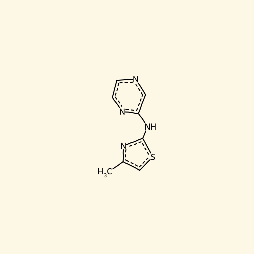 Cc1csc(Nc2cnccn2)n1